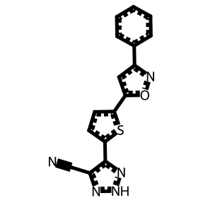 N#Cc1n[nH]nc1-c1ccc(-c2cc(-c3ccccc3)no2)s1